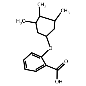 CC1CC(Oc2ccccc2C(=O)O)CC(C)C1C